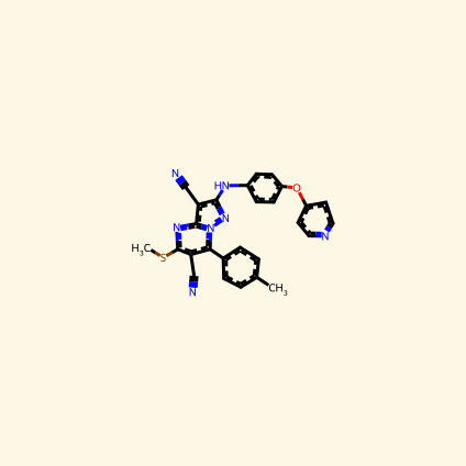 CSc1nc2c(C#N)c(Nc3ccc(Oc4ccncc4)cc3)nn2c(-c2ccc(C)cc2)c1C#N